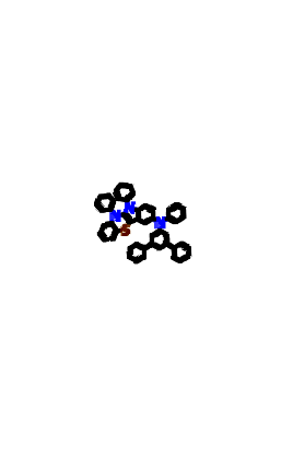 c1ccc(-c2cc(-c3ccccc3)cc(N(c3ccccc3)c3ccc4c(c3)c3c(n4-c4ccccc4)N(c4ccccc4)c4ccccc4S3)c2)cc1